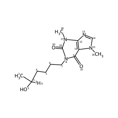 [2H]C(C)(O)CCCCn1c(=O)c2c(ncn2C)n(C)c1=O